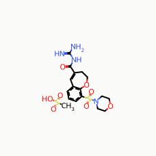 CS(=O)(=O)O.N=C(N)NC(=O)C1=Cc2cccc(S(=O)(=O)N3CCOCC3)c2OCC1